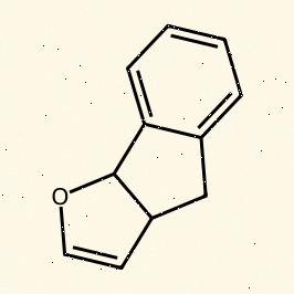 C1=CC2Cc3ccccc3C2O1